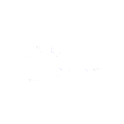 CNC(=O)NCCCC(C)(C)CN(C[C@H](O)[C@H](Cc1ccccc1)NC(=O)O[C@H]1CO[C@@H]2OCC[C@H]21)S(=O)(=O)c1ccc(OC)cc1